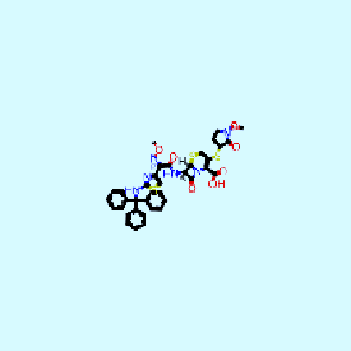 CO/N=C(\C(=O)N[C@@H]1C(=O)N2C(C(=O)O)=C(SC3CCN(OC)C3=O)CS[C@H]12)c1csc(NC(c2ccccc2)(c2ccccc2)c2ccccc2)n1